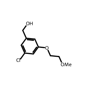 COCCOc1cc(Cl)cc(CO)c1